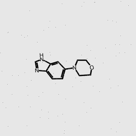 c1nc2ccc(N3CCOCC3)cc2[nH]1